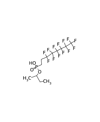 CCC(C)OP(=O)(O)CCC(F)(F)C(F)(F)C(F)(F)C(F)(F)C(F)(F)C(F)(F)F